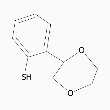 Sc1ccccc1C1COCCO1